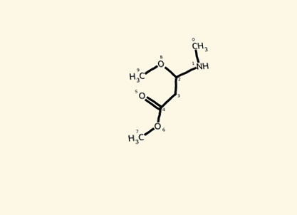 CNC(CC(=O)OC)OC